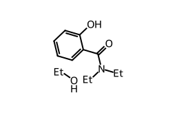 CCN(CC)C(=O)c1ccccc1O.CCO